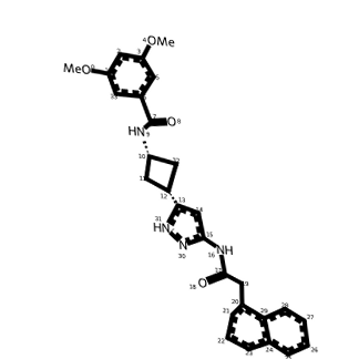 COc1cc(OC)cc(C(=O)N[C@H]2C[C@@H](c3cc(NC(=O)Cc4cccc5ccccc45)n[nH]3)C2)c1